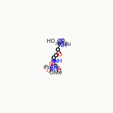 CCO[C@H]1C[C@@H](c2nc3ccc4cc5c(cc4c3[nH]2)OCc2cc(-c3cnc([C@@]4(C(C)(C)C)CCCN4C(=O)O)[nH]3)ccc2-5)N(C(=O)[C@@H](NC(=O)OC)C(C)C)C1